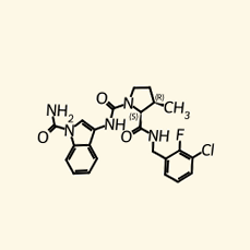 C[C@@H]1CCN(C(=O)Nc2cn(C(N)=O)c3ccccc23)[C@@H]1C(=O)NCc1cccc(Cl)c1F